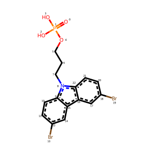 O=P(O)(O)OCCCn1c2ccc(Br)cc2c2cc(Br)ccc21